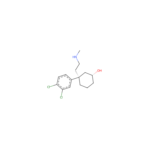 CNCC[C@@]1(c2ccc(Cl)c(Cl)c2)CCC[C@@H](O)C1